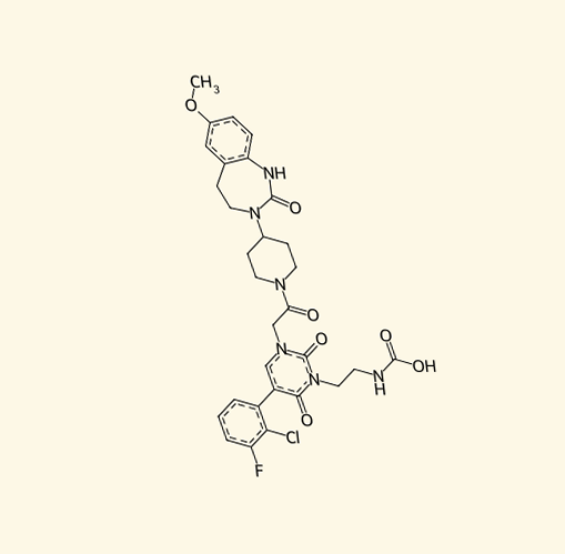 COc1ccc2c(c1)CCN(C1CCN(C(=O)Cn3cc(-c4cccc(F)c4Cl)c(=O)n(CCNC(=O)O)c3=O)CC1)C(=O)N2